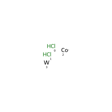 Cl.Cl.[Co].[W]